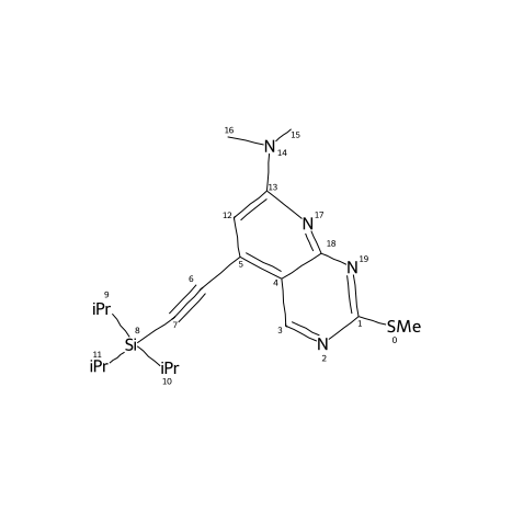 CSc1ncc2c(C#C[Si](C(C)C)(C(C)C)C(C)C)cc(N(C)C)nc2n1